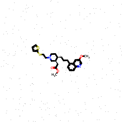 COC(=O)C[C@H]1CN(CCSc2cccs2)CC[C@H]1CCCc1cccc2ncc(OC)cc12